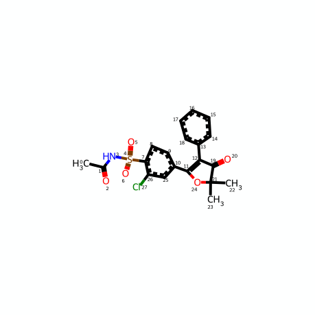 CC(=O)NS(=O)(=O)c1ccc(C2=C(c3ccccc3)C(=O)C(C)(C)O2)cc1Cl